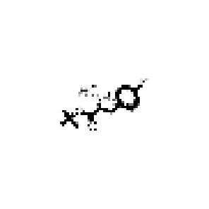 CC(C)(C)OC(=O)C(N)Cc1ccc(F)cc1.Cl